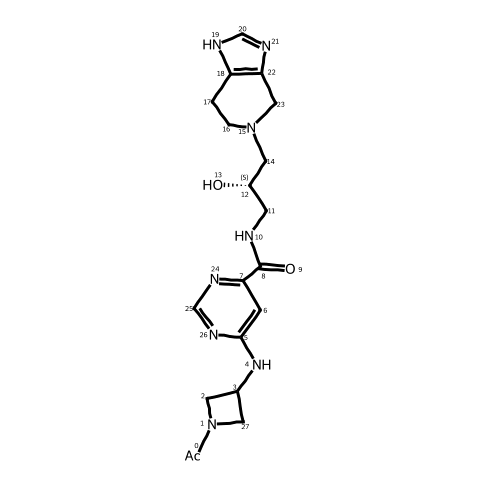 CC(=O)N1CC(Nc2cc(C(=O)NC[C@H](O)CN3CCc4[nH]cnc4C3)ncn2)C1